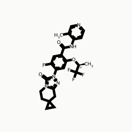 Cc1cnccc1NC(=O)c1cc(F)c(-n2nc3n(c2=O)CCC2(CC2)C3)cc1O[C@@H](C)C(F)(F)F